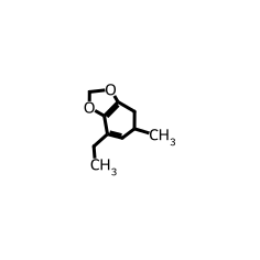 CCC1=CC(C)CC2=C1OCO2